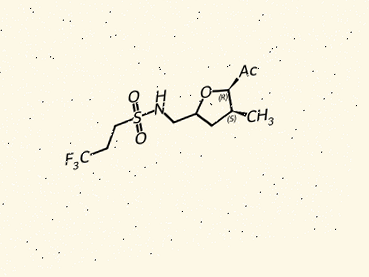 CC(=O)[C@@H]1OC(CNS(=O)(=O)CCC(F)(F)F)C[C@@H]1C